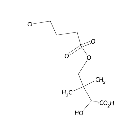 CC(C)(COS(=O)(=O)CCCCl)[C@@H](O)C(=O)O